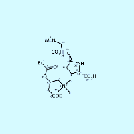 CCC(=O)OC(CC(=O)[O-])C[N+](C)(C)C.CNCC(=O)O.O=C1CC[C@@H](C(=O)O)N1